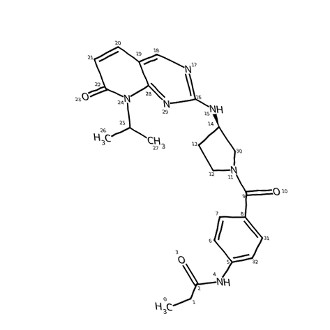 CCC(=O)Nc1ccc(C(=O)N2CC[C@@H](Nc3ncc4ccc(=O)n(C(C)C)c4n3)C2)cc1